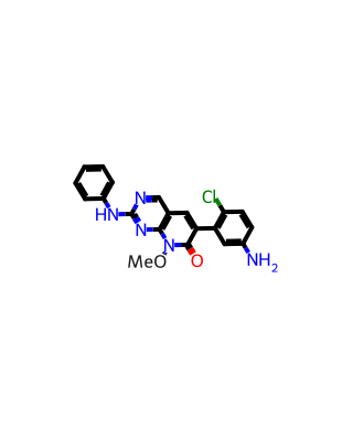 COn1c(=O)c(-c2cc(N)ccc2Cl)cc2cnc(Nc3ccccc3)nc21